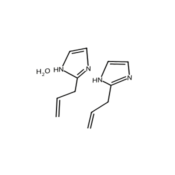 C=CCc1ncc[nH]1.C=CCc1ncc[nH]1.O